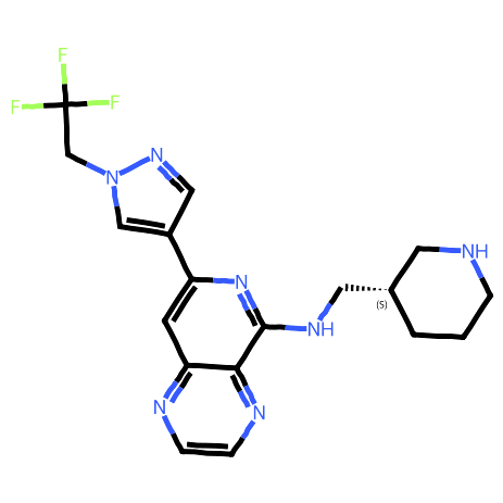 FC(F)(F)Cn1cc(-c2cc3nccnc3c(NC[C@H]3CCCNC3)n2)cn1